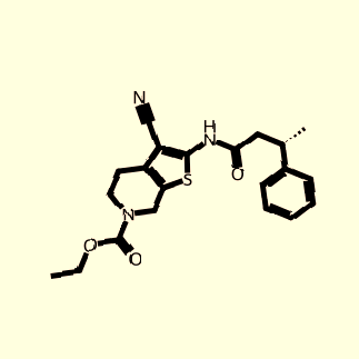 CCOC(=O)N1CCc2c(sc(NC(=O)C[C@H](C)c3ccccc3)c2C#N)C1